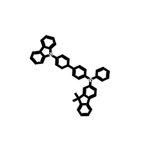 CC1(C)c2ccccc2-c2ccc(N(c3ccccc3)c3ccc(C4C=CC(n5c6ccccc6c6ccccc65)=CC4)cc3)cc21